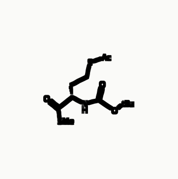 CSC(=O)[C@H](CCSC(C)=O)NC(=O)OC(C)(C)C